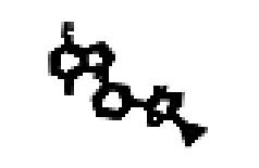 Cc1ccc(F)c2ccn(-c3cccc(-c4nnc(C5CC5)o4)c3)c12